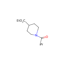 CCOC(=O)C1CCN(C(=O)C(C)C)CC1